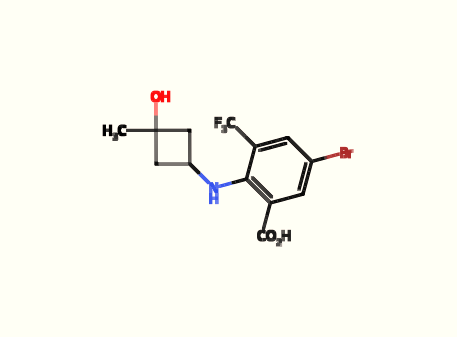 CC1(O)CC(Nc2c(C(=O)O)cc(Br)cc2C(F)(F)F)C1